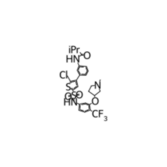 CC(C)C(=O)Nc1cccc(-c2cc(S(=O)(=O)Nc3ccc(C(F)(F)F)c(OC4CCN(C)C4)c3)sc2Cl)c1